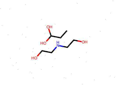 CCC(O)O.OCCNCCO